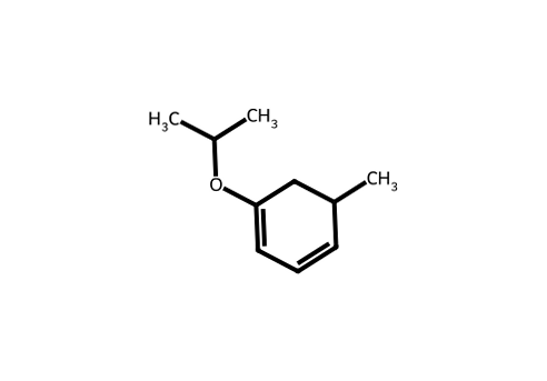 CC1C=CC=C(OC(C)C)C1